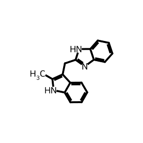 Cc1[nH]c2ccccc2c1Cc1nc2ccccc2[nH]1